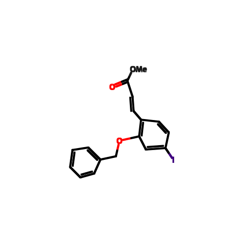 COC(=O)C=Cc1ccc(I)cc1OCc1ccccc1